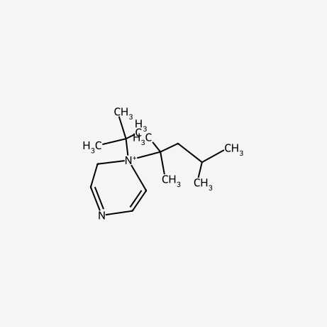 CC(C)CC(C)(C)[N+]1(C(C)(C)C)C=CN=CC1